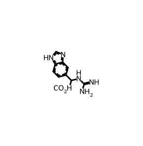 N=C(N)NC(C(=O)O)c1ccc2[nH]cnc2c1